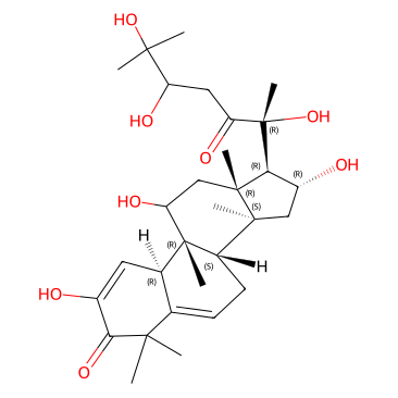 CC1(C)C(=O)C(O)=C[C@@H]2C1=CC[C@@H]1[C@@]2(C)C(O)C[C@]2(C)[C@@H]([C@@](C)(O)C(=O)CC(O)C(C)(C)O)[C@H](O)C[C@@]12C